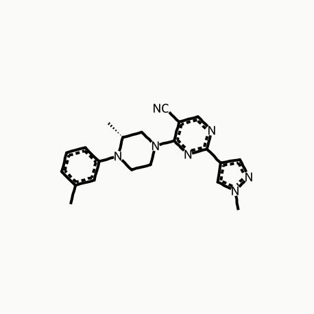 Cc1cccc(N2CCN(c3nc(-c4cnn(C)c4)ncc3C#N)C[C@H]2C)c1